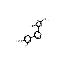 Cc1nc(C)c(-c2cc(-c3ccc(C(=O)O)c(O)c3)ccn2)s1